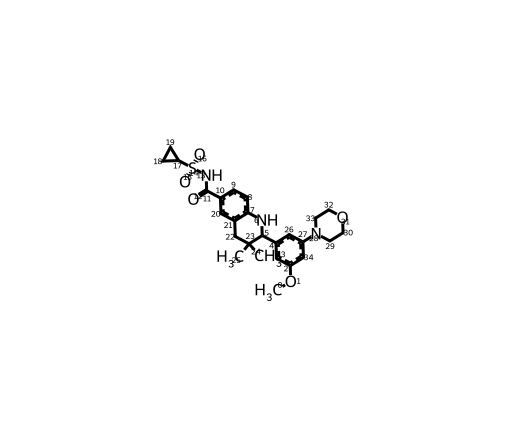 COc1cc(C2Nc3ccc(C(=O)NS(=O)(=O)C4CC4)cc3CC2(C)C)cc(N2CCOCC2)c1